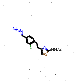 CC(=O)Nc1nc(CCc2ccc(CN=[N+]=[N-])cc2F)cs1